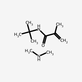 C=C(C)C(=O)NC(C)(C)C.CNC